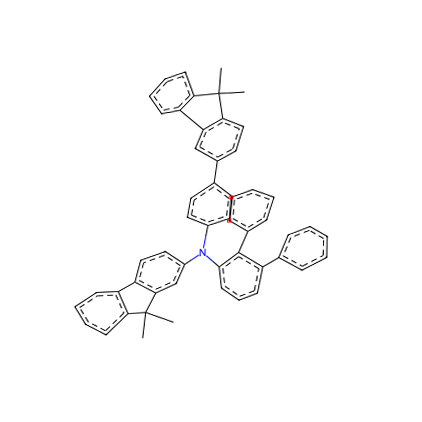 CC1(C)c2ccccc2-c2cc(-c3ccc(N(c4ccc5c(c4)C(C)(C)c4ccccc4-5)c4cccc(-c5ccccc5)c4-c4ccccc4)cc3)ccc21